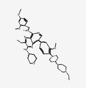 CCc1nc2c(NCc3ccc(OC)cc3OC)ncc(-c3ccc(N4CCC(N5CCN(CC)CC5)CC4)c(OC)c3)c2nc1NC1CCOCC1